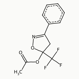 CC(=O)OC1(C(F)(F)F)CC(c2ccccc2)=NO1